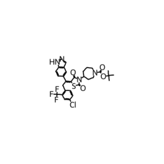 CC(C)(C)OC(=O)N1CCCC(N2C(=O)SC(=C(Cc3ccc(Cl)cc3C(F)(F)F)c3ccc4[nH]ncc4c3)C2=O)CC1